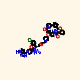 CC1(C(=O)N2CCCC(c3cccc(C(=O)N[C@@H](C(=O)N4CCC(OC5CCN(CCOCC[C@H](NC(=O)C6(N)CCN(c7ncnc8[nH]ccc78)CC6)c6ccc(Cl)cc6)CC5)CC4)C4CCCCC4)c3)C2)CC1